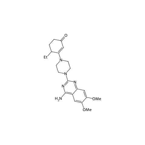 CCC1CCC(=O)C=C1N1CCN(c2nc(N)c3cc(OC)c(OC)cc3n2)CC1